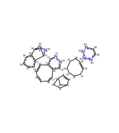 C1=CC2CCC1C2.C1=CC=Cc2cnncc2C=C1.C1=CCCCCCC1.c1ccc2c(c1)C1=NN=C2C1.c1cnnnn1